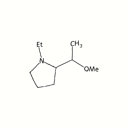 CCN1CCCC1C(C)OC